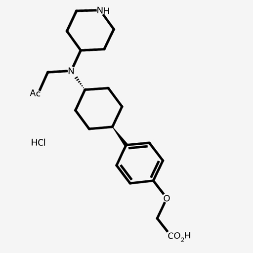 CC(=O)CN(C1CCNCC1)[C@H]1CC[C@H](c2ccc(OCC(=O)O)cc2)CC1.Cl